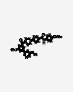 CCOc1cncc(-c2cc(C(=O)N3CCN(c4ccc(C(=O)Nc5ccc(OC)cc5)nn4)CC3)cc(C(C)(C)C)c2)c1